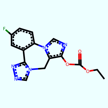 CCOC(=O)Oc1ncn2c1Cn1cnnc1-c1cc(F)ccc1-2